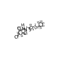 C/C(=C\c1csc(/C=N/Nc2c(Cl)cc(Cl)cc2Cl)c1)c1ccccc1